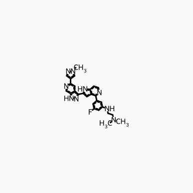 CN(C)CCNc1cc(F)cc(-c2nccc3[nH]c(-c4n[nH]c5cnc(-c6cnn(C)c6)cc45)cc23)c1